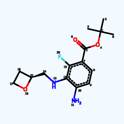 CC(C)(C)OC(=O)c1ccc(N)c(NC[C@@H]2CCO2)c1F